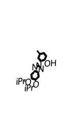 Cc1ccc(O)c(-n2nc3cc(OC(C)C)c(OC(C)C)cc3n2)c1